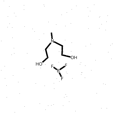 CN(CCO)CCO.FB(F)F